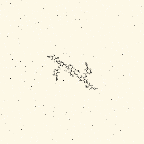 Cc1c(COc2ccc(CNCC(O)CC(=O)O)c(OCc3cncc(C#N)c3)c2)cccc1-c1cccc(COc2ccc(CNCC(O)CC(=O)O)c(OCc3cncc(C#N)c3)c2)c1C